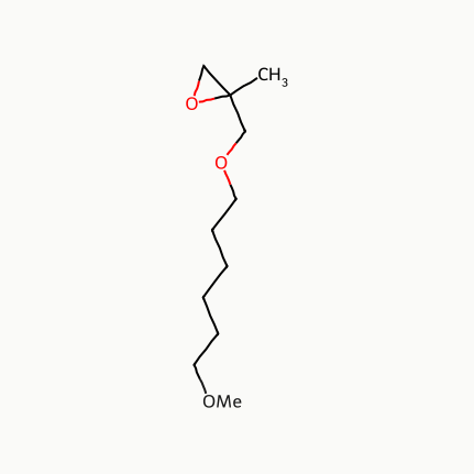 COCCCCCCOCC1(C)CO1